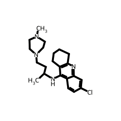 CC(CCN1CCN(C)CC1)Nc1c2c(nc3cc(Cl)ccc13)CCCC2